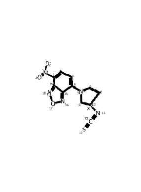 O=[N+]([O-])c1ccc(N2CC[C@@H](N=C=S)C2)c2nonc12